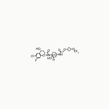 O=C(COC1CC(OC(F)(F)F)C1)NC12CCC(NC(=O)[C@H]3C[C@@H](O)c4cc(Cl)c(F)cc4O3)(CC1)[C@@H](O)C2